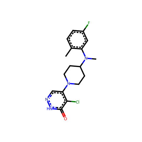 Cc1ccc(F)cc1N(C)C1CCN(c2cn[nH]c(=O)c2Cl)CC1